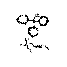 C=CC[N+](CC)(CC)CC.CCCC[B-](c1ccccc1)(c1ccccc1)c1ccccc1